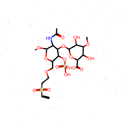 C=CS(=O)(=O)CCOCC1OC(OC)C(NC(C)=O)C(OC2OC(C(=O)O)C(O)C(OC)C2O)C1OS(=O)(=O)O